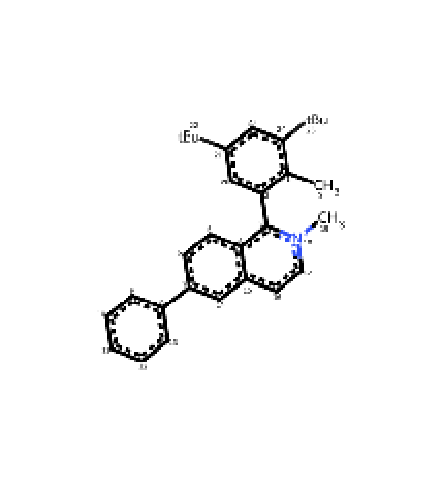 Cc1c(-c2c3ccc(-c4ccccc4)cc3cc[n+]2C)cc(C(C)(C)C)cc1C(C)(C)C